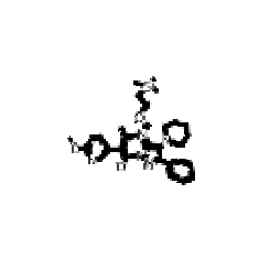 COc1ccc(-c2c(C)n(COCC[Si](C)(C)C)c3c(N4CCCCC4)c(-c4ccccc4)nn3c2=O)cn1